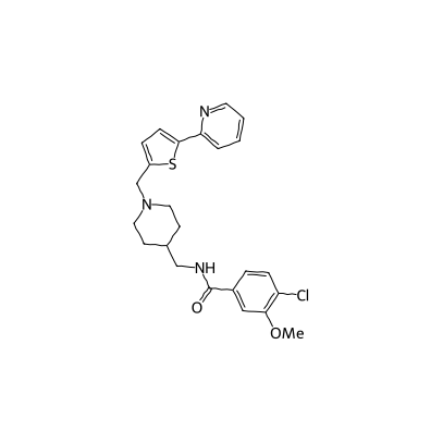 COc1cc(C(=O)NCC2CCN(Cc3ccc(-c4ccccn4)s3)CC2)ccc1Cl